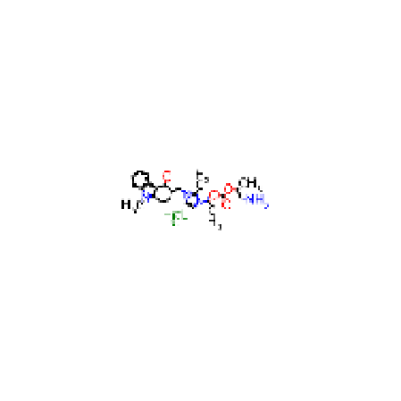 Cc1n(CC2CCc3c(c4ccccc4n3C)C2=O)cc[n+]1C(C)OC(=O)OC(C)CN.Cl.[Cl-]